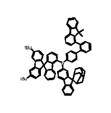 CC(C)(C)c1ccc2c(c1)-c1cc(C(C)(C)C)ccc1C21c2ccccc2-c2c(N(c3ccc(-c4ccccc4-c4cccc5c4C(C)(C)c4ccccc4-5)cc3)c3ccc4c(c3)C3(c5ccccc5-4)C4CC5CC(C4)CC3C5)cccc21